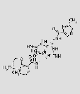 Cc1cncc(C(=O)NC[C@@H]2NC(=N)N3C[C@H](NC(=O)c4cccc5c4OCCC5(C)C)C(O)(O)[C@@]34NC(=N)N[C@@H]24)n1